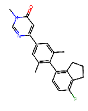 Cc1cc(-c2cc(=O)n(C)cn2)cc(C)c1-c1ccc(F)c2c1CCC2